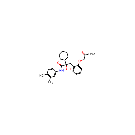 COC(=O)COc1ccccc1CC(O)(C(=O)Nc1ccc(C#N)c(C(F)(F)F)c1)C1CCCCC1